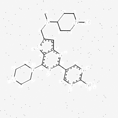 CCN1CCC(N(C)Cc2cc3nc(-c4cnc(N)nc4)nc(N4CCOCC4)c3s2)CC1